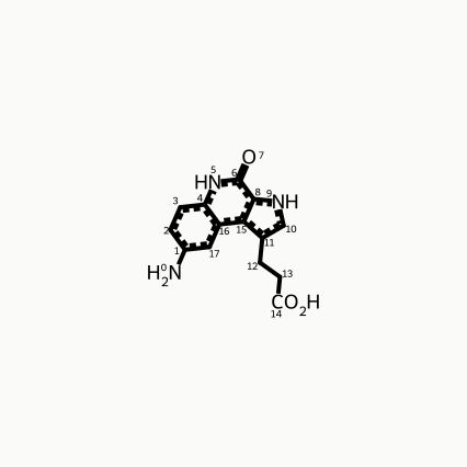 Nc1ccc2[nH]c(=O)c3[nH]cc(CCC(=O)O)c3c2c1